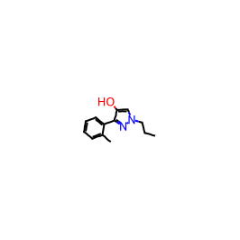 CCCn1cc(O)c(-c2ccccc2C)n1